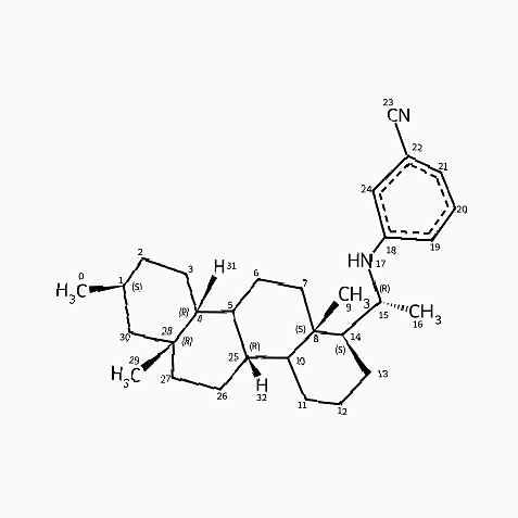 C[C@H]1CC[C@@H]2C3CC[C@@]4(C)C(CCC[C@@H]4[C@@H](C)Nc4cccc(C#N)c4)[C@@H]3CC[C@]2(C)C1